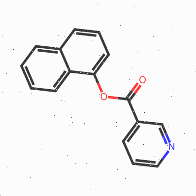 O=C(Oc1cccc2ccccc12)c1cccnc1